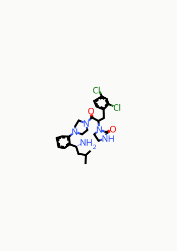 CC(C)C[C@@H](N)c1ccccc1N1CCN(C(=O)C(Cc2ccc(Cl)cc2Cl)N2CCNC2=O)CC1